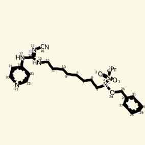 CC(C)S(=O)(=O)N(CCCCCCCCN/C(=N\C#N)Nc1ccncc1)OCc1ccccc1